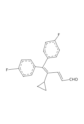 O=CC=CC(=C(c1ccc(F)cc1)c1ccc(F)cc1)C1CC1